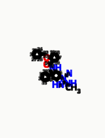 CNC(=N)N(C#N)C1CCC(CNC(=O)c2ccccc2OCc2ccccc2)(c2ccccc2)CC1